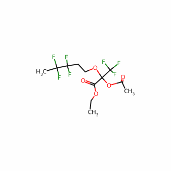 CCOC(=O)C(OCCC(F)(F)C(C)(F)F)(OC(C)=O)C(F)(F)F